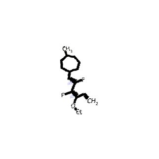 C=C/C(OCC)=C(F)\C(F)=C\C1CCCC(C)CC1